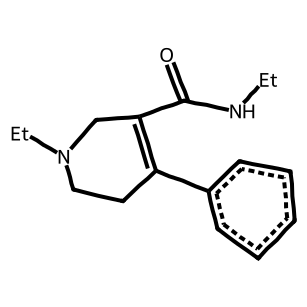 CCNC(=O)C1=C(c2ccccc2)CCN(CC)C1